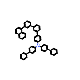 c1ccc(-c2ccc(N(c3ccc(-c4ccccc4)cc3)c3ccc(-c4cccc(-c5cccc(-c6cccc7ccccc67)c5)c4)cc3)cc2)cc1